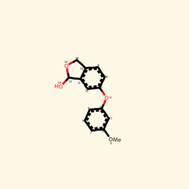 COc1cccc(Oc2ccc3c(c2)C(O)OC3)c1